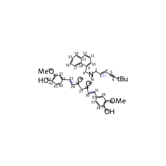 CN(C/C=C/C#CC(C)(C)C)Cc1cccc2ccccc12.COc1cc(/C=C/C(=O)CC(=O)/C=C/c2ccc(O)c(OC)c2)ccc1O